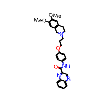 COc1cc2c(cc1OC)CN(CCCOc1ccc(NC(=O)c3cnc4ccccc4n3)cc1)CC2